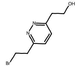 OCCc1ccc(CCBr)nn1